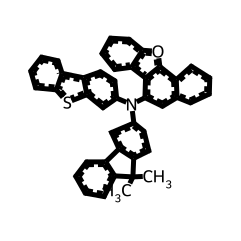 CC1(C)c2ccccc2-c2cc(N(c3ccc4c(c3)sc3ccccc34)c3cc4ccccc4c4oc5ccccc5c34)ccc21